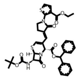 CCOC(=O)c1ccsc1N1CC/C(=C\C2=CS[C@@H]3[C@H](NC(=O)OC(C)(C)C)C(=O)N3[C@H]2C(=O)OC(c2ccccc2)c2ccccc2)C1=O